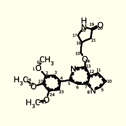 COc1cc(-c2cc3ncccc3c(OCC3CNC(=O)C3)n2)cc(OC)c1OC